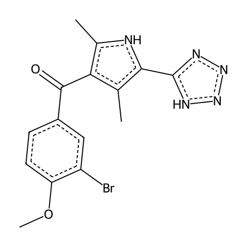 COc1ccc(C(=O)c2c(C)[nH]c(-c3nnn[nH]3)c2C)cc1Br